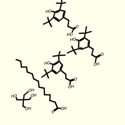 CC(C)(C)c1cc(CCC(=O)O)cc(C(C)(C)C)c1O.CC(C)(C)c1cc(CCC(=O)O)cc(C(C)(C)C)c1O.CC(C)(C)c1cc(CCC(=O)O)cc(C(C)(C)C)c1O.CCCCCCCCCCCCCCC(O)=S.OCC(CO)(CO)CO